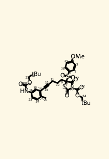 COc1ccc(S(=O)(=O)C2(CCCC#Cc3cc(NC(=O)OCC(C)(C)C)ccc3C)SC(=O)N(C(=O)OCC(C)(C)C)C2=O)cc1